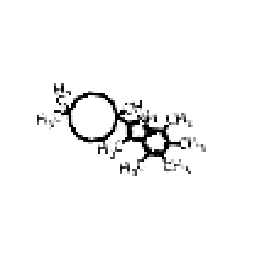 Cc1c(C)c(C)c2c(C)c(C3(C)CCCCCC(C)(C)CCCC3)[nH]c2c1C